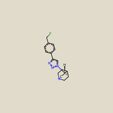 FCc1ccc(-c2cn([C@H]3CN4CCC3CC4)nn2)cc1